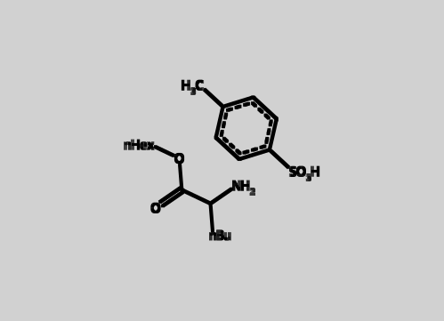 CCCCCCOC(=O)C(N)CCCC.Cc1ccc(S(=O)(=O)O)cc1